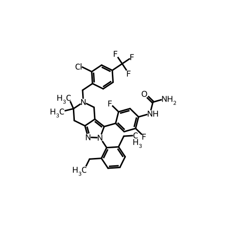 CCc1cccc(CC)c1-n1nc2c(c1-c1cc(F)c(NC(N)=O)cc1F)CN(Cc1ccc(C(F)(F)F)cc1Cl)C(C)(C)C2